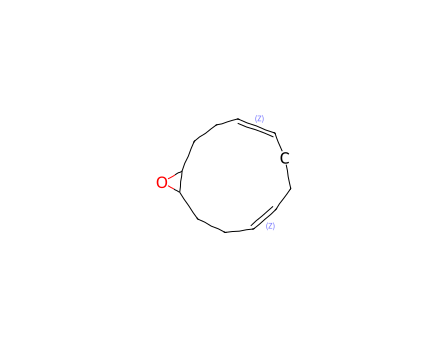 C1=C\CCC2OC2CC/C=C\CC/1